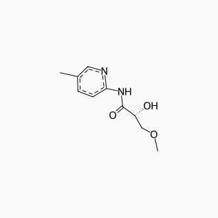 COC[C@@H](O)C(=O)Nc1ccc(C)cn1